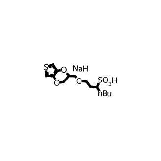 CCCCC(CCOCC1COc2cscc2O1)S(=O)(=O)O.[NaH]